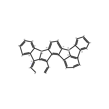 C=Cc1c2c3c4cccc5c6ccccc6n(c3ccc2n2c1/c(=C\C)c1ccccc12)c54